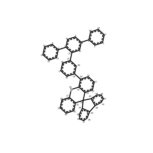 c1ccc(-c2ccc(-c3ccccc3)c(-c3cccc(-c4cccc5c4Sc4ccccc4C54c5ccccc5-c5ccccc54)c3)c2)cc1